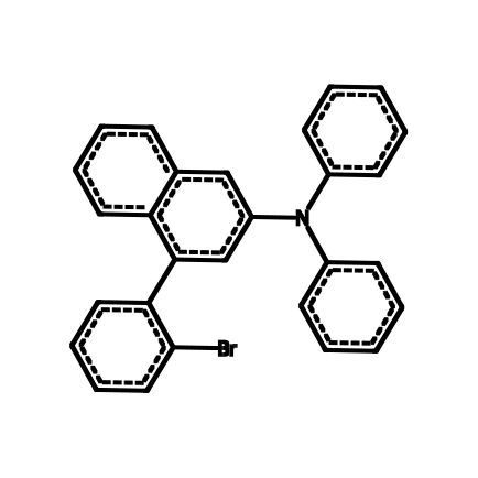 Brc1ccccc1-c1cc(N(c2ccccc2)c2ccccc2)cc2ccccc12